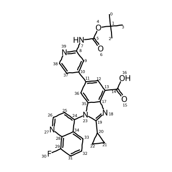 CC(C)(C)OC(=O)Nc1cc(-c2cc(C(=O)O)c3nc(C4CC4)n(-c4ccnc5c(F)cccc45)c3c2)ccn1